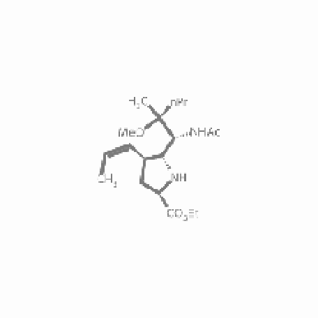 C/C=C\[C@@H]1C[C@H](C(=O)OCC)N[C@H]1[C@@H](NC(C)=O)[C@](C)(CCC)OC